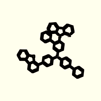 c1ccc(-c2ccc(N(c3ccc(-c4cccc5c4oc4ccccc45)cc3)c3ccc(-n4c5ccccc5c5cccnc54)c(-c4ccccc4)c3)cc2)cc1